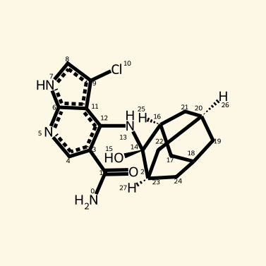 NC(=O)c1cnc2[nH]cc(Cl)c2c1N[C@]1(O)[C@@H]2CC3C[C@H](C2)C[C@H]1C3